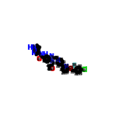 O=C(Nc1cnn2[nH]ccc12)c1ccc2c(c1)nc(CN1CC=C(c3cccc(OCc4ccc(Cl)cc4F)n3)CC1)n2C[C@@H]1CCO1